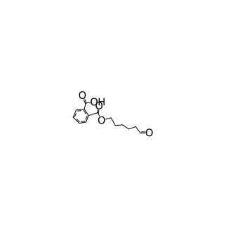 O=CCCCCCOC(=O)c1ccccc1C(=O)O